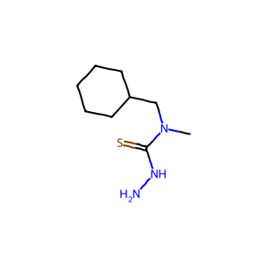 CN(CC1CCCCC1)C(=S)NN